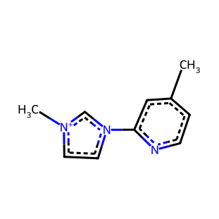 Cc1ccnc(-n2cc[n+](C)c2)c1